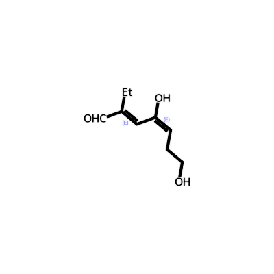 CC/C(C=O)=C\C(O)=C/CCO